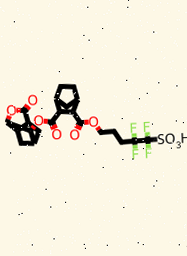 O=C1OC2C3CC(CC13)C2OC(=O)C1C2CCC(C2)C1C(=O)OCCCC(F)(F)C(F)(F)S(=O)(=O)O